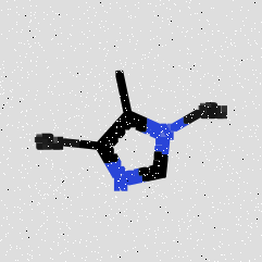 Cc1c(C(C)(C)C)ncn1C(C)(C)C